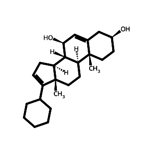 C[C@]12CC[C@H](O)CC1=C[C@H](O)[C@@H]1[C@@H]2CC[C@]2(C)C(C3CCCCC3)=CC[C@@H]12